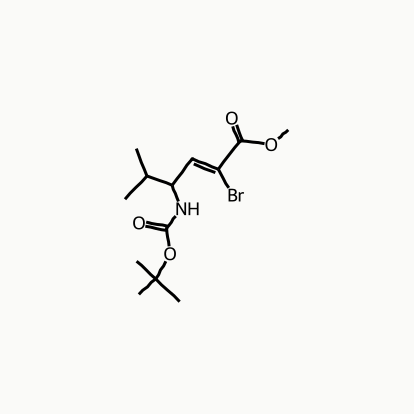 COC(=O)C(Br)=CC(NC(=O)OC(C)(C)C)C(C)C